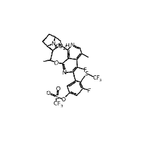 Cc1cnc2c3c(nc(-c4cc(OS(=O)(=O)C(F)(F)F)cc(F)c4SC(F)(F)F)c(F)c13)OC(C)C1C3CCC(CN21)N3C(=O)O